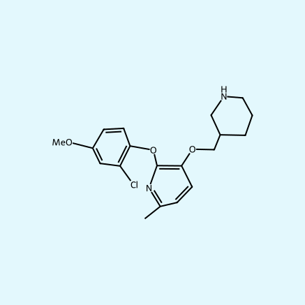 COc1ccc(Oc2nc(C)ccc2OCC2CCCNC2)c(Cl)c1